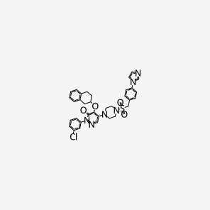 O=c1c(OC2CCc3ccccc3C2)c(N2CCN(S(=O)(=O)Cc3ccc(-n4ccnc4)cc3)CC2)cnn1-c1cccc(Cl)c1